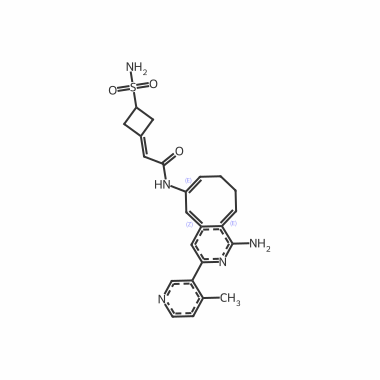 Cc1ccncc1-c1cc2/c(c(N)n1)=C\CC/C=C(NC(=O)C=C1CC(S(N)(=O)=O)C1)\C=2